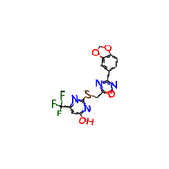 Oc1cc(C(F)(F)F)nc(SCc2nc(-c3ccc4c(c3)OCO4)no2)n1